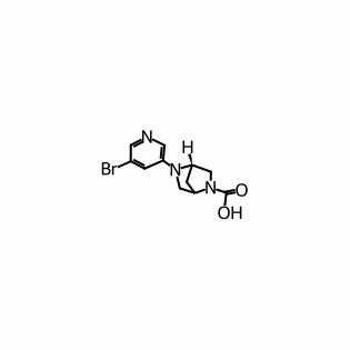 O=C(O)N1C[C@@H]2CC1CN2c1cncc(Br)c1